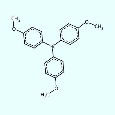 COc1cc[c]([Bi]([c]2ccc(OC)cc2)[c]2ccc(OC)cc2)cc1